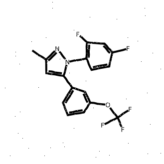 Cc1cc(-c2cccc(OC(F)(F)F)c2)n(-c2ccc(F)cc2F)n1